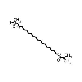 C=C(C)C(=O)OCCCCCCCCCCCCCCCCCC[Si](C)(C)F